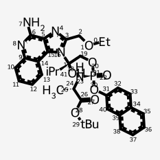 CCOCc1nc2c(N)nc3ccccc3c2n1[C@@](O)(CO[P@@](=O)(N[C@@H](C)C(=O)OC(C)(C)C)Oc1ccc2ccccc2c1)C(C)C